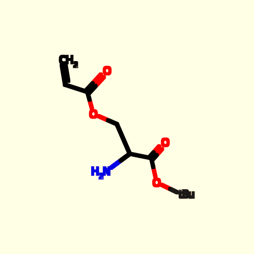 C=CC(=O)OCC(N)C(=O)OC(C)(C)C